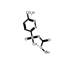 CC(C)(C)OC(=O)N=S(C)(=O)c1ccc(C(=O)O)nn1